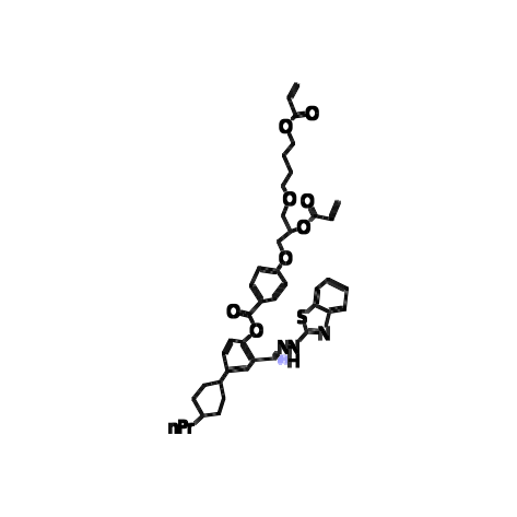 C=CC(=O)OCCCCOCC(COc1ccc(C(=O)Oc2ccc(C3CCC(CCC)CC3)cc2/C=N/Nc2nc3ccccc3s2)cc1)OC(=O)C=C